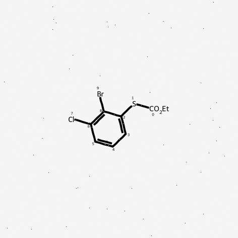 CCOC(=O)Sc1cccc(Cl)c1Br